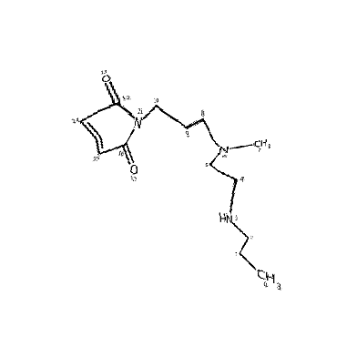 CCCNCCN(C)CCCN1C(=O)C=CC1=O